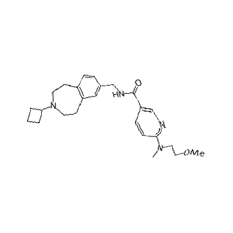 COCCN(C)c1ccc(C(=O)NCc2ccc3c(c2)CCN(C2CCC2)CC3)cn1